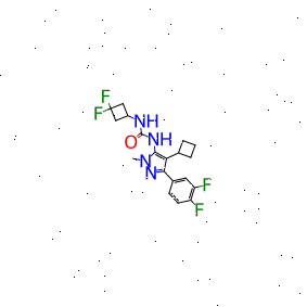 Cn1nc(-c2ccc(F)c(F)c2)c(C2CCC2)c1NC(=O)NC1CC(F)(F)C1